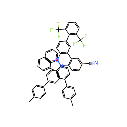 Cc1ccc(-c2ccc3c(c2)c2ccccc2n3-c2ccc(C#N)cc2-c2cc(-c3c(C(F)(F)F)cccc3C(F)(F)F)ccc2-n2c3ccccc3c3cc(-c4ccc(C)cc4)ccc32)cc1